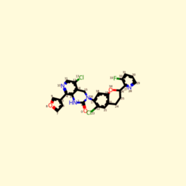 O=C1Nc2c(-c3ccoc3)ncc(Cl)c2CN1c1cc2c(cc1Cl)CCC(c1ncccc1F)O2